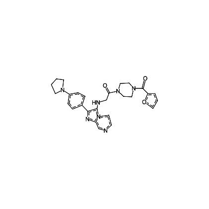 O=C(CNc1c(-c2ccc(N3CCCC3)cc2)nc2cnccn12)N1CCN(C(=O)c2ccco2)CC1